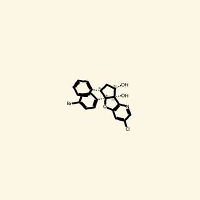 O[C@H]1C[C@@H](c2ccccc2)[C@]2(c3ccc(Br)cc3)Oc3cc(Cl)cnc3[C@]12O